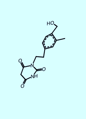 Cc1cc(CCN2C(=O)CC(=O)NC2=O)ccc1CO